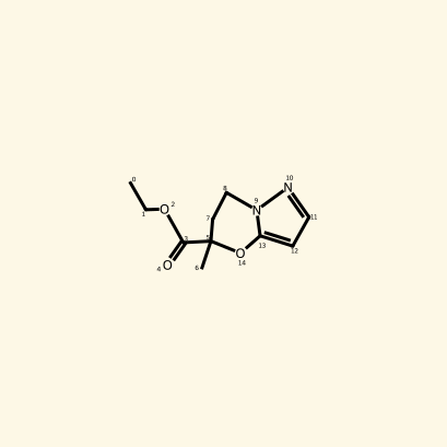 CCOC(=O)C1(C)CCn2nccc2O1